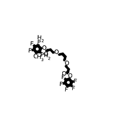 Cc1c(F)c(F)c(P)c(OC(=O)CCOC/C=C\COCCC(=O)Oc2c(F)c(F)c(F)c(F)c2F)c1P